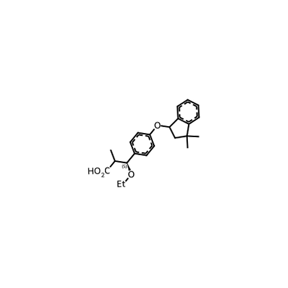 CCO[C@H](c1ccc(OC2CC(C)(C)c3ccccc32)cc1)C(C)C(=O)O